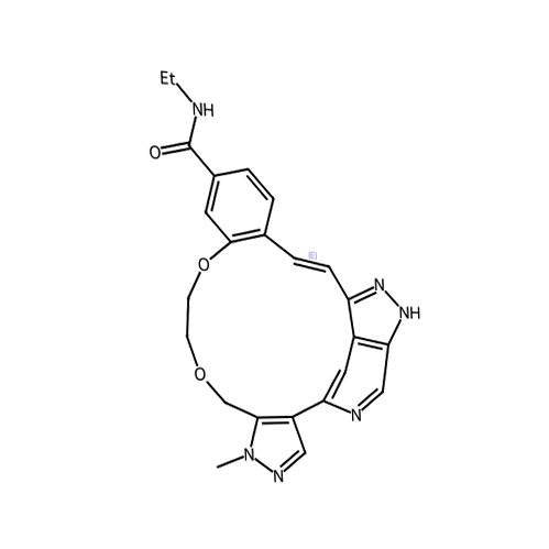 CCNC(=O)c1ccc2c(c1)OCCOCc1c(cnn1C)-c1cc3c(n[nH]c3cn1)/C=C/2